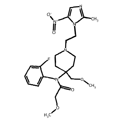 COCC(=O)N(c1ccccc1F)C1(COC)CCN(CCn2c([N+](=O)[O-])cnc2C)CC1